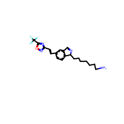 NCCCCCCCC1N=Cc2cc(C=Cc3noc(C(F)(F)F)n3)ccc21